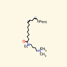 [CH2]CN(CCCCN(C)C)C(=O)CCCCCCC/C=C\C/C=C\CCCCC